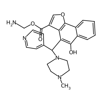 CN1CCN(C(c2ccncc2)c2c(O)c3ccccc3c3occ(C(=O)OCN)c23)CC1